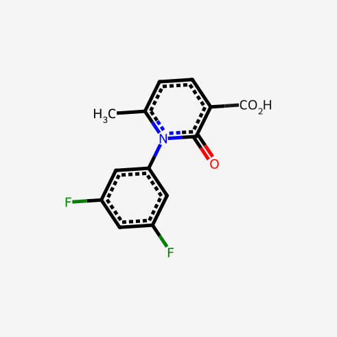 Cc1ccc(C(=O)O)c(=O)n1-c1cc(F)cc(F)c1